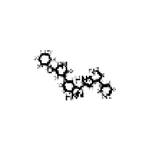 c1cncc(-c2ccnc3[nH]c(-c4n[nH]c5ccc(-c6cncc(OC7CCCCC7)c6)cc45)cc23)c1